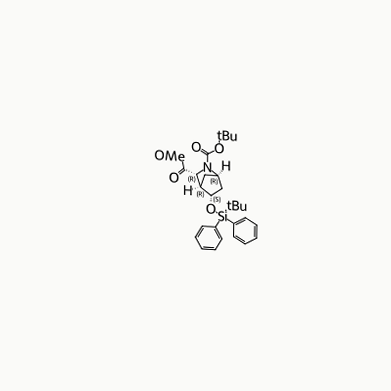 COC(=O)[C@H]1[C@H]2C[C@H](C[C@@H]2O[Si](c2ccccc2)(c2ccccc2)C(C)(C)C)N1C(=O)OC(C)(C)C